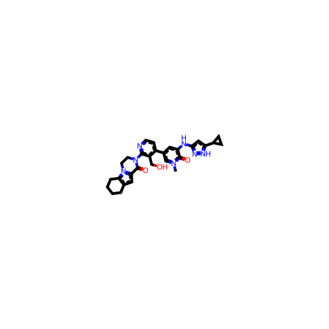 Cn1cc(-c2ccnc(N3CCn4c(cc5c4CCCC5)C3=O)c2CO)cc(Nc2cc(C3CC3)[nH]n2)c1=O